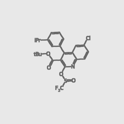 CC(C)c1cccc(-c2c(C(=O)OC(C)(C)C)c(OS(=O)C(F)(F)F)nc3ccc(Cl)cc23)c1